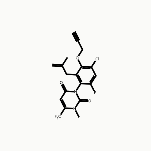 C#CCOc1c(Cl)cc(F)c(-n2c(=O)cc(C(F)(F)F)n(C)c2=O)c1CC(=C)C